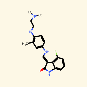 CCN(CC)CCNc1ccc(N/C=C2/C(=O)Nc3cccc(F)c32)cc1C